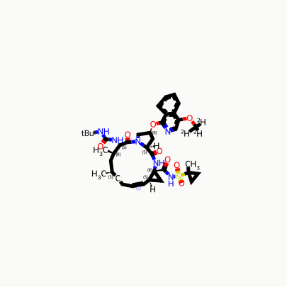 [2H]C([2H])([2H])Oc1cnc(O[C@@H]2C[C@H]3C(=O)N[C@]4(C(=O)NS(=O)(=O)C5(C)CC5)C[C@H]4/C=C\CC[C@H](C)C[C@@H](C)[C@H](NC(=O)NC(C)(C)C)C(=O)N3C2)c2ccccc12